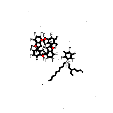 CCCCCCCCC[NH+](CCC(CC)CCCC)c1c(F)c(C)c(F)c(F)c1F.FC1=C(F)[CH]([Al-]([CH]2C(F)=C(F)c3c(F)c(F)c(F)c(F)c32)([CH]2C(F)=C(F)c3c(F)c(F)c(F)c(F)c32)[CH]2C(F)=C(F)c3c(F)c(F)c(F)c(F)c32)c2c(F)c(F)c(F)c(F)c21